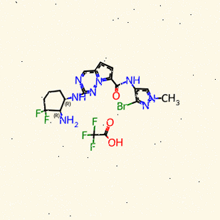 Cn1cc(NC(=O)c2ccc3cnc(N[C@@H]4CCCC(F)(F)[C@@H]4N)nn23)c(Br)n1.O=C(O)C(F)(F)F